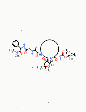 CN(C)C(=O)C(NC(=O)CNC(=O)C(=O)[C@@H]1CCCCCCCCCC[C@H](NC(=O)OC(C)(C)C)C(=O)N2C[C@@H]3OC(C)(C)C[C@@H]3[C@H]2C(=O)N1)c1ccccc1